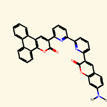 CCN(CC)c1ccc2cc(-c3cccc(-c4cccc(-c5cc6c7ccccc7c7ccccc7c6oc5=O)n4)n3)c(=O)oc2c1